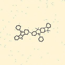 CC1(C)c2ccccc2-c2cc3c(cc21)N(c1ccccc1)c1ccc(-c2ccc4c(c2)c2sc5ccccc5c2n4-c2ccccc2)cc1C3(C)C